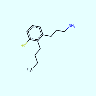 CCCCc1c(S)cccc1CCCN